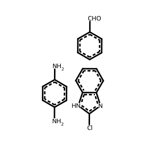 Clc1nc2ccccc2[nH]1.Nc1ccc(N)cc1.O=Cc1ccccc1